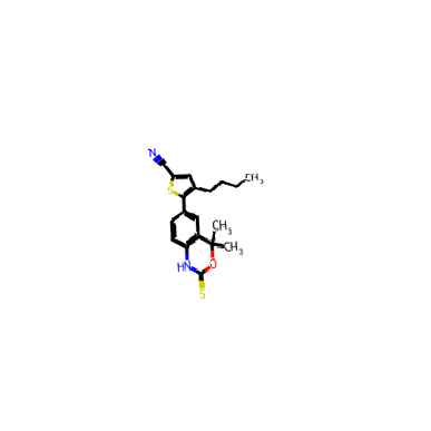 CCCCc1cc(C#N)sc1-c1ccc2c(c1)C(C)(C)OC(=S)N2